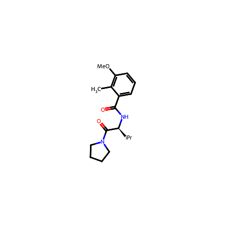 COc1cccc(C(=O)N[C@H](C(=O)N2CCCC2)C(C)C)c1C